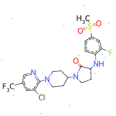 CS(=O)(=O)c1ccc(NC2CCN(C3CCN(c4ncc(C(F)(F)F)cc4Cl)CC3)C2=O)c(F)c1